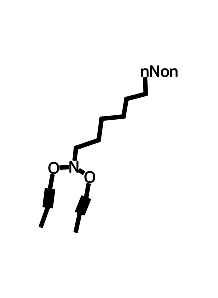 CC#CON(CCCCCCCCCCCCCCC)OC#CC